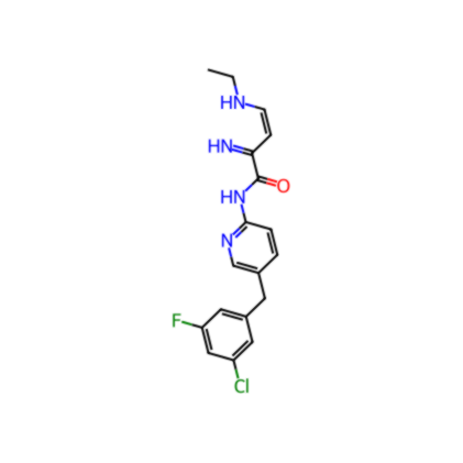 CCN/C=C\C(=N)C(=O)Nc1ccc(Cc2cc(F)cc(Cl)c2)cn1